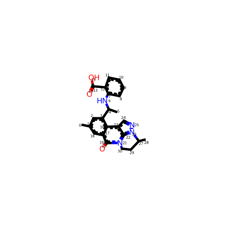 Cc1cc(C(C)Nc2ccccc2C(=O)O)c2c(c1)c(=O)n1c3c2cnn3C(C)CC1